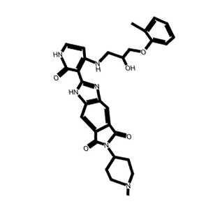 Cc1ccccc1OCC(O)CNc1cc[nH]c(=O)c1-c1nc2cc3c(cc2[nH]1)C(=O)N(C1CCN(C)CC1)C3=O